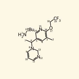 CC(C)(C)N.Cc1cc(C(C)N2C=CC=NC2)cnc1OCC(F)(F)F